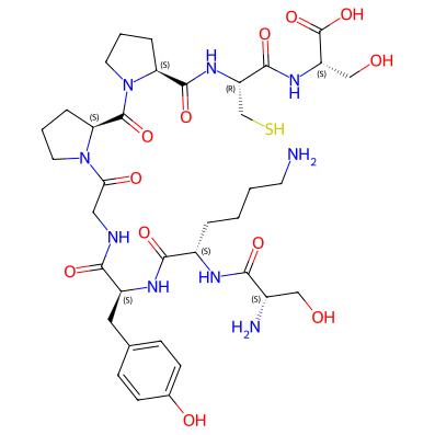 NCCCC[C@H](NC(=O)[C@@H](N)CO)C(=O)N[C@@H](Cc1ccc(O)cc1)C(=O)NCC(=O)N1CCC[C@H]1C(=O)N1CCC[C@H]1C(=O)N[C@@H](CS)C(=O)N[C@@H](CO)C(=O)O